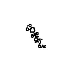 CC(=O)OCCC(C)(C)CN(CC(C)C)S(=O)(=O)c1ccc2c(c1)OCO2